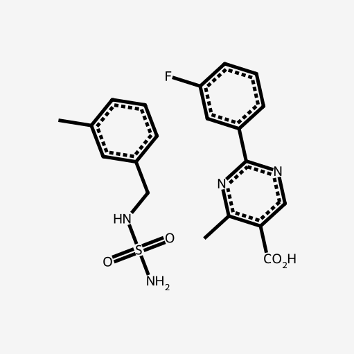 Cc1cccc(CNS(N)(=O)=O)c1.Cc1nc(-c2cccc(F)c2)ncc1C(=O)O